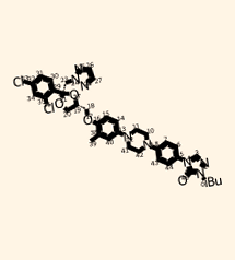 CCC(C)n1ncn(-c2ccc(N3CCN(c4ccc(OC[C@@H]5CO[C@@](Cn6nccn6)(c6ccc(Cl)cc6Cl)O5)c(C)c4)CC3)cc2)c1=O